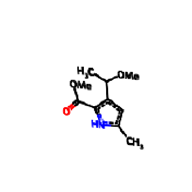 COC(=O)c1[nH]c(C)cc1C(C)OC